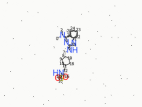 CN(C)c1nc(NC[C@H]2CC[C@H](CNS(C)(=O)=O)CC2)nc2ccccc12